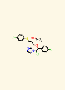 Clc1ccc(SCCCOC(c2ccc(Cl)cc2)C(Cl)n2ccnc2)cc1.O=[N+]([O-])O